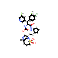 O=C(O)N[C@H](C(=O)N[C@H]1CCC[C@@H]1CC[C@H]1CN[C@@H]2CCCS(O)(O)N1C2)[C@H](c1cncc(F)c1)c1ccc(Cl)c(F)c1